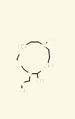 COCN1CCCCNCCN(C)CCNCC1C